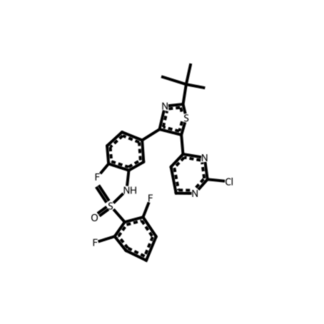 C=S(=O)(Nc1cc(-c2nc(C(C)(C)C)sc2-c2ccnc(Cl)n2)ccc1F)c1c(F)cccc1F